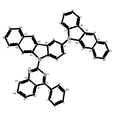 c1ccc(-c2nc(-n3c4ccc(-n5c6ccccc6c6cc7ccccc7cc65)cc4c4cc5ccccc5cc43)nc3ccccc23)cc1